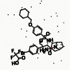 NC1CC2CCC(C1)N2C(=O)[C@@H](NS(=O)(=O)c1ccc(OCC2CCCCC2)cc1)C(F)(F)c1ccc(Br)cc1.O=C(O)C(F)(F)F